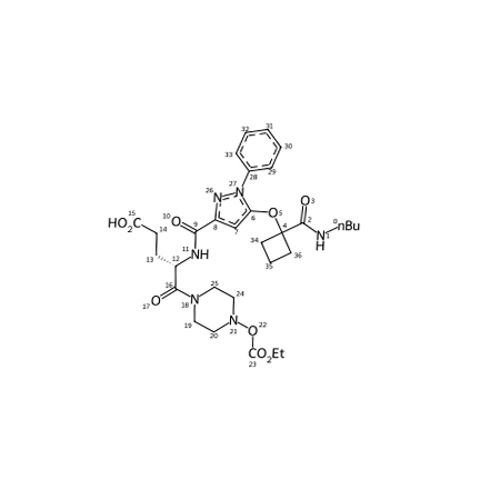 CCCCNC(=O)C1(Oc2cc(C(=O)N[C@@H](CCC(=O)O)C(=O)N3CCN(OC(=O)OCC)CC3)nn2-c2ccccc2)CCC1